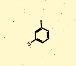 Cc1cccc([S])c1